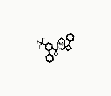 O=C(NCC1(N2CCCC2)CCC1c1ccccc1)c1ccc(C(F)(F)F)cc1-c1ccccc1